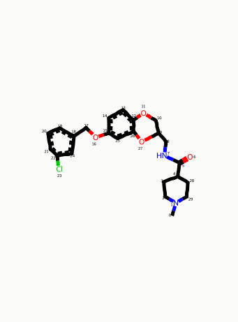 CN1CCC(C(=O)NCC2COc3ccc(OCc4cccc(Cl)c4)cc3O2)CC1